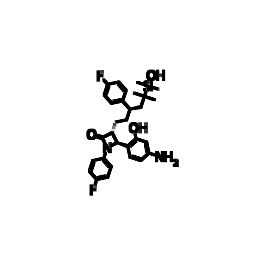 CC(C)(C[C@@H](CC[C@H]1C(=O)N(c2ccc(F)cc2)[C@@H]1c1ccc(N)cc1O)c1ccc(F)cc1)[Si](C)(C)O